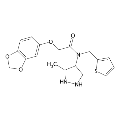 CC1NNCC1N(Cc1cccs1)C(=O)COc1ccc2c(c1)OCO2